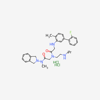 Cc1ccc(-c2ccccc2F)cc1NCC(=O)N(CCNC(C)C)CC(=O)N(C)N1Cc2ccccc2C1.Cl.Cl